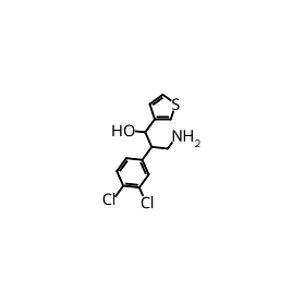 NCC(c1ccc(Cl)c(Cl)c1)C(O)c1ccsc1